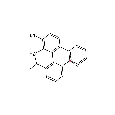 CC(C)c1cccc(C(C)C)c1-c1c(-c2ccccc2)ccc(N)c1N